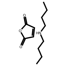 CCCCNCCCC.O=C1C=CC(=O)O1